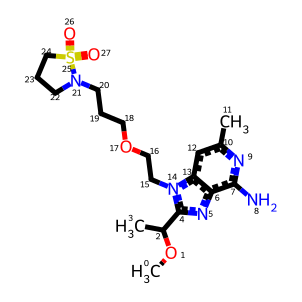 COC(C)c1nc2c(N)nc(C)cc2n1CCOCCCN1CCCS1(=O)=O